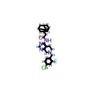 O=C(CC12CC3CC(CC(C3)C1)C2)Nc1ncnc2c1CCN(Cc1ccc(Cl)cc1F)C2